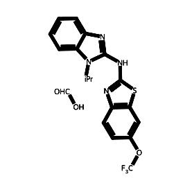 CC(C)n1c(Nc2nc3ccc(OC(F)(F)F)cc3s2)nc2ccccc21.O=CO